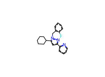 Fc1ccccc1Cn1nc(-c2ccccn2)cc1C1CCCCC1